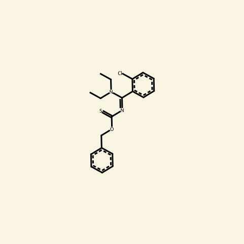 CCN(CC)C(=NC(=S)OCc1ccccc1)c1ccccc1Cl